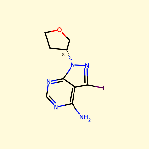 Nc1ncnc2c1c(I)nn2[C@@H]1CCOC1